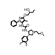 CC[C@H](O)COc1nn(-c2ccccc2)c(NC(=O)N[C@@H]2CN(CCOC)C[C@H]2c2ccc(F)c(F)c2)c1C